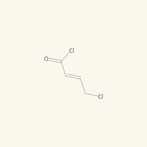 O=C(Cl)C=CCCl